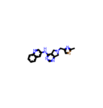 Cc1nc(CN2Cc3ncnc(Nc4cnc5ccccc5c4)c3C2)cs1